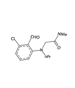 CCCN(CC(=O)NC)c1cccc(Cl)c1C=O